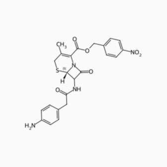 CC1=C(C(=O)OCc2ccc([N+](=O)[O-])cc2)N2C(=O)C(NC(=O)Cc3ccc(N)cc3)[C@@H]2SC1